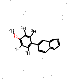 [2H]Oc1c([2H])c([2H])c(-c2ccc3ccccc3c2)c([2H])c1[2H]